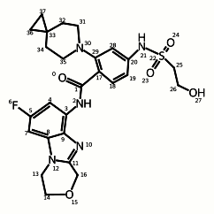 O=C(Nc1cc(F)cc2c1nc1n2CCOC1)c1ccc(NS(=O)(=O)CCO)cc1N1CCC2(CC1)CC2